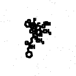 Cc1nc2c(cc(/C=C/C(=O)NCC3CCCCC3)n2C)c(-c2cc(F)c3c(c2C)CCCO3)c1[C@H](OC(C)(C)C)C(=O)O